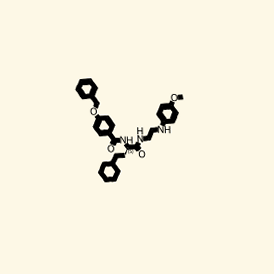 COc1ccc(NCCNC(=O)[C@H](CCC2CCCCC2)NC(=O)c2ccc(OCc3ccccc3)cc2)cc1